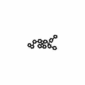 c1ccc(-c2ccc(N(c3cccc(-c4ccccc4)c3)c3ccc4c(c3)C(c3ccccc3)(c3ccccc3)c3cc(-c5cccc(-c6cccc7ccccc67)c5)ccc3-4)cc2)cc1